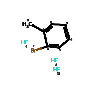 Cc1ccccc1Br.F.F.F